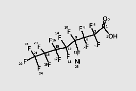 O=C(O)C(F)(F)C(F)(F)C(F)(F)C(F)(F)C(F)(F)C(F)(F)C(F)(F)F.[Ni]